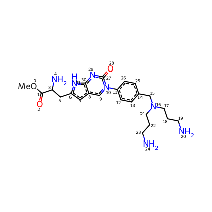 COC(=O)C(N)Cc1cc2cn(-c3ccc(CN(CCCN)CCCN)cc3)c(=O)nc2[nH]1